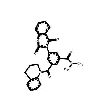 CN(C)C(=O)c1cc(C(=O)N2CCCc3ccccc32)cc(-n2c(=O)[nH]c3ccccc3c2=O)c1